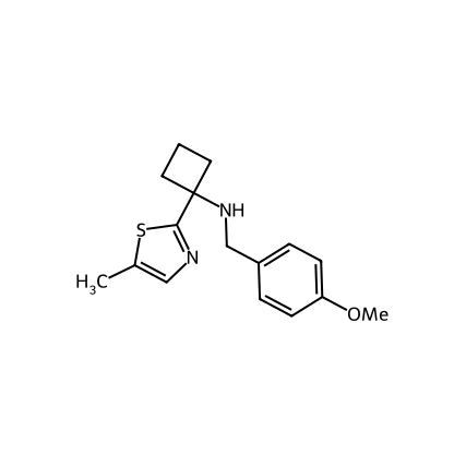 COc1ccc(CNC2(c3ncc(C)s3)CCC2)cc1